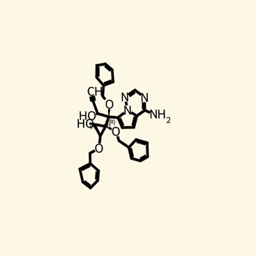 C#CC(O)[C@](OCc1ccccc1)(c1ccc2c(N)ncnn12)[C@]1(OCc2ccccc2)C(OCc2ccccc2)[C@H]1O